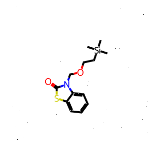 C[Si](C)(C)CCOCn1c(=O)sc2ccccc21